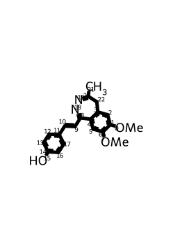 COc1cc2c(cc1OC)C(/C=C/c1ccc(O)cc1)=NN=C(C)C2